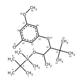 [CH2]C(O[Si](C)(C)C(C)(C)C)C(Oc1cc(Cl)cc(OC)c1)C(C)(C)C